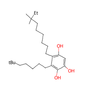 CCC(C)(C)CCCCCCc1c(O)cc(O)c(O)c1CCCCCC(C)(C)C